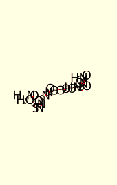 NC(=O)[C@@H](O)C[C@H]1CCc2sc3ncnc(O[C@H]4CC[C@H](N5CCN(C(=O)COCCOCCOCCOCCNc6cccc7c6C(=O)N(C6CCC(=O)NC6=O)C7=O)CC5)CC4)c3c21